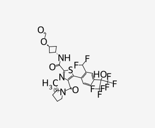 C[C@H]1CCCN1C(=O)c1nc(C(=O)N[C@H]2C[C@H](OC=O)C2)sc1-c1ccc(C(O)(C(F)(F)F)C(F)(F)F)cc1C(F)F